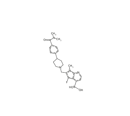 CN(C)C(=O)c1ccc(C2CCN(Cc3c(F)c4c(B(O)O)ccnc4n3C)CC2)cc1